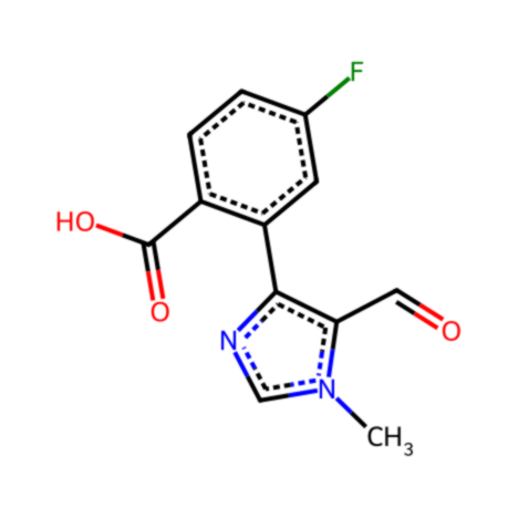 Cn1cnc(-c2cc(F)ccc2C(=O)O)c1C=O